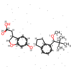 COC(c1cccc2c1CC[C@H]2Oc1ccc2c(c1)OCC2CC(=O)O)C(C)(C)C